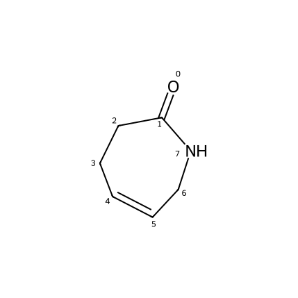 O=C1CCC=CCN1